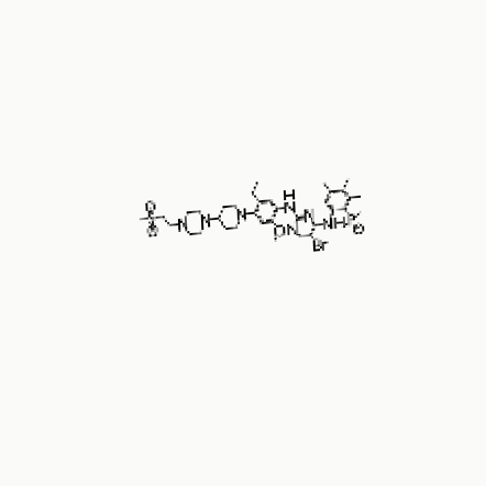 CCc1cc(Nc2ncc(Br)c(Nc3cc(C)c(C)c(C)c3P(C)(C)=O)n2)c(OC)cc1N1CCC(N2CCN(CCS(C)(=O)=O)CC2)CC1